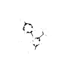 Cc1nc([C@H](C)N)n(-c2ncc(Br)cn2)n1.Cl